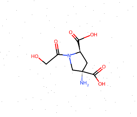 N[C@@]1(C(=O)O)C[C@H](C(=O)O)N(C(=O)CO)C1